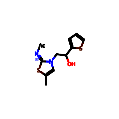 CC(=O)/N=c1/sc(C)cn1CC(O)c1cccs1